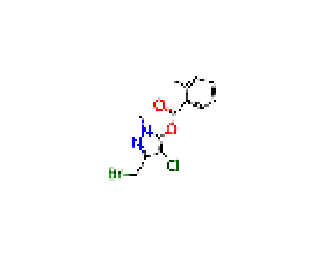 Cc1ccccc1C(=O)Oc1c(Cl)c(CBr)nn1C